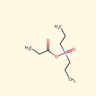 CCCP(=O)(CCC)OC(=O)CC